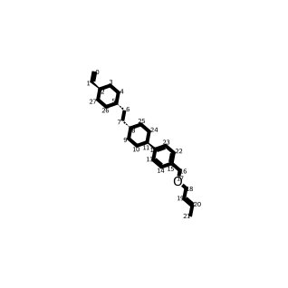 C=C[C@H]1CC[C@H](CC[C@H]2CC[C@H](c3ccc(COCC=CC)cc3)CC2)CC1